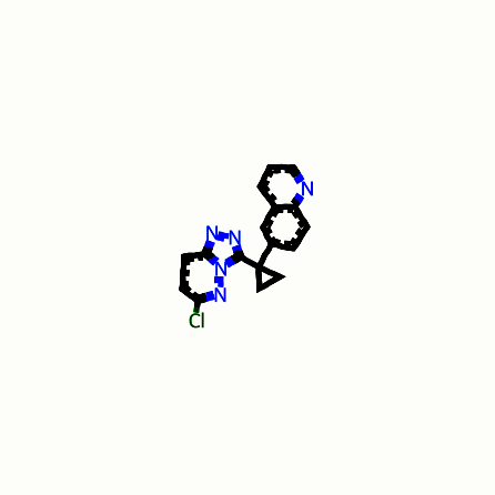 Clc1ccc2nnc(C3(c4ccc5ncccc5c4)CC3)n2n1